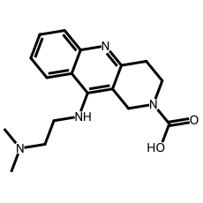 CN(C)CCNc1c2c(nc3ccccc13)CCN(C(=O)O)C2